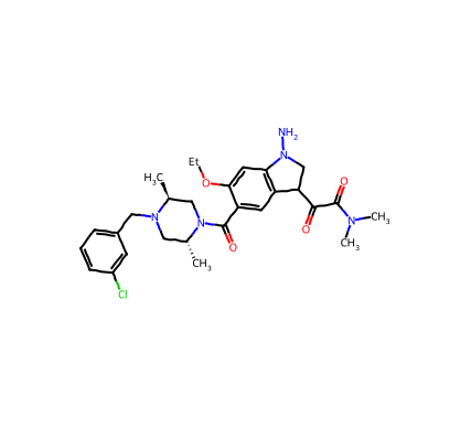 CCOc1cc2c(cc1C(=O)N1C[C@H](C)N(Cc3cccc(Cl)c3)C[C@H]1C)C(C(=O)C(=O)N(C)C)CN2N